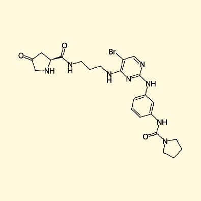 O=C1CN[C@H](C(=O)NCCCNc2nc(Nc3cccc(NC(=O)N4CCCC4)c3)ncc2Br)C1